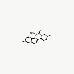 Cc1cnc2cc(C3=CCC(C)CN3C(=O)OC(C)(C)C)ccc2c1